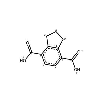 O=C(O)c1ccc(C(=O)O)c2c1CCC2